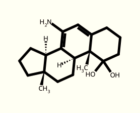 C[C@@]12CCC[C@H]1C1=C(N)C=C3CCCC(O)(O)[C@]3(C)[C@H]1CC2